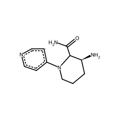 NC(=O)C1[C@@H](N)CCCN1c1[c]cncc1